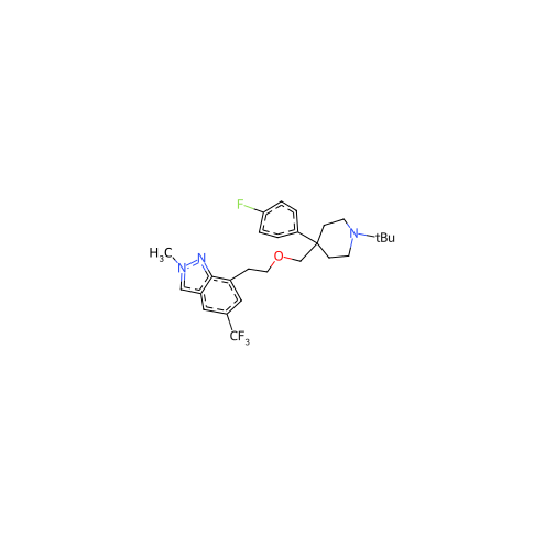 Cn1cc2cc(C(F)(F)F)cc(CCOCC3(c4ccc(F)cc4)CCN(C(C)(C)C)CC3)c2n1